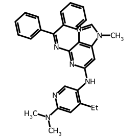 CCc1cc(N(C)C)ncc1Nc1cc2c(ncn2C)c(N=C(c2ccccc2)c2ccccc2)n1